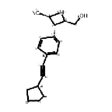 N#C[C@H]1N[C@@H](CO)[C@@H]1c1ccc(C#CC2CCCC2)cc1